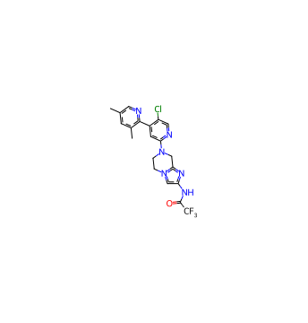 Cc1cnc(-c2cc(N3CCn4cc(NC(=O)C(F)(F)F)nc4C3)ncc2Cl)c(C)c1